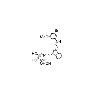 COc1cc(Br)cc(NCCn2cc(CCN3C[C@H](O)[C@@H](O)[C@H](O)[C@H]3CO)c3ccccc32)c1